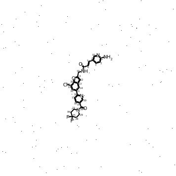 Nc1ccc(/C=C/C(=O)NCc2cc3cc(-c4ccc(C(=O)N5CCC(F)(F)CC5)cn4)cc(Cl)c3o2)cn1